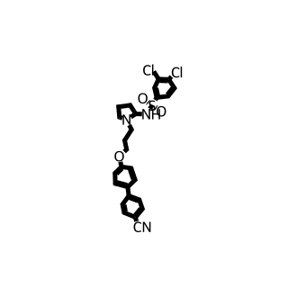 N#Cc1ccc(-c2ccc(OCCCN3CCCC3NS(=O)(=O)c3ccc(Cl)c(Cl)c3)cc2)cc1